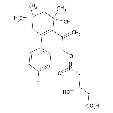 C=C(CO[PH](=O)C[C@@H](O)CC(=O)O)C1=C(c2ccc(F)cc2)CC(C)(C)CC1(C)C